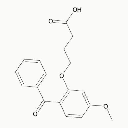 COc1ccc(C(=O)c2ccccc2)c(OCCCC(=O)O)c1